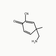 CC1(CN)C=CC(=O)C(C#N)=C1